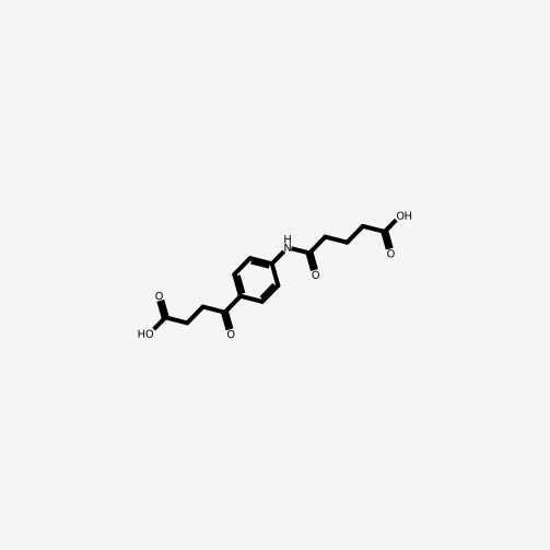 O=C(O)CCCC(=O)Nc1ccc(C(=O)CCC(=O)O)cc1